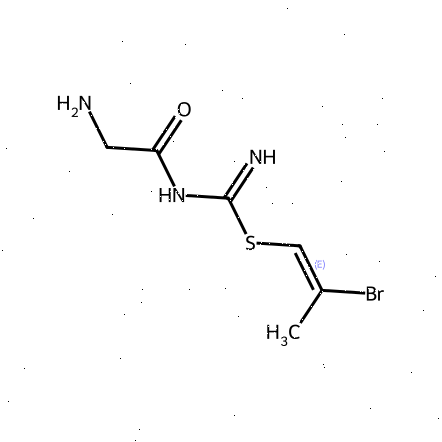 C/C(Br)=C\SC(=N)NC(=O)CN